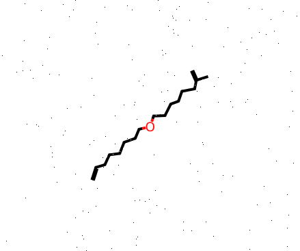 C=CCCCCCCOCCCCCCC(=C)C